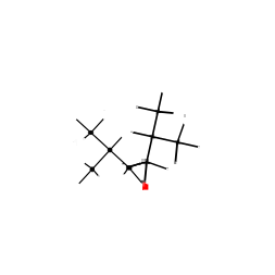 [2H]C([2H])(F)C(OC(C([2H])([2H])F)(C(F)(F)F)C(F)(F)F)(C(F)(F)F)C(F)(F)F